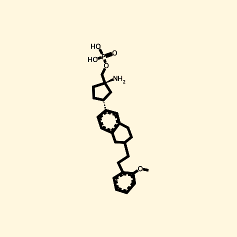 COc1ccccc1CCC1CCc2cc([C@@H]3CC[C@](N)(COP(=O)(O)O)C3)ccc2C1